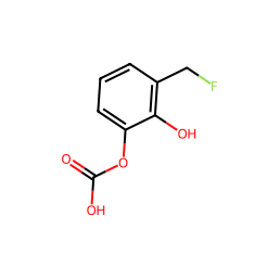 O=C(O)Oc1cccc(CF)c1O